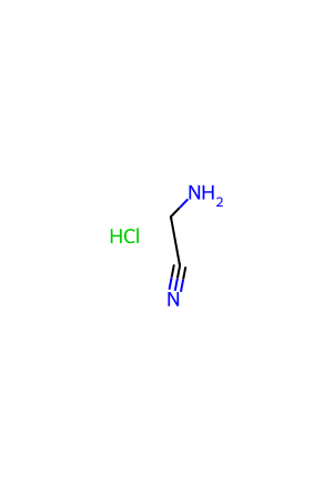 Cl.N#CCN